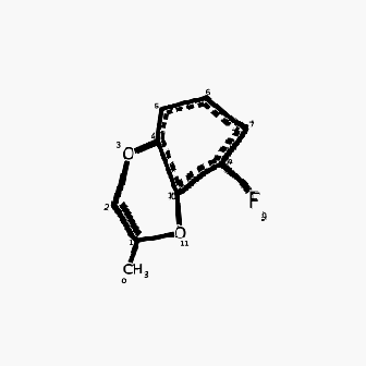 CC1=[C]Oc2cccc(F)c2O1